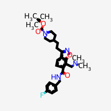 CN(C)Cc1c(C(=O)NCc2ccc(F)cc2)ccc2c(CCC3CCN(C(=O)OC(C)(C)C)CC3)noc12